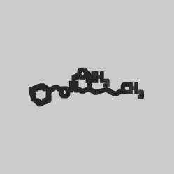 CCCCC(N)CN(C=O)OCc1ccccc1